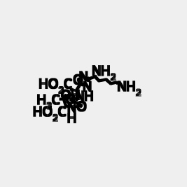 CC(O)[C@H](NS(=O)(=O)N[C@@H](CC(=O)O)c1nc([C@@H](N)CCCCN)no1)C(=O)O